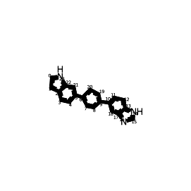 c1cc2ccc(-c3ccc(-c4ccc5[nH]cnc5c4)cc3)cc2[nH]1